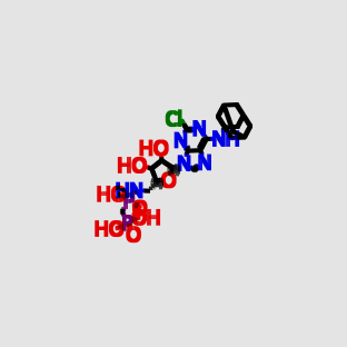 O=P(O)(O)CP(=O)(O)NC[C@H]1O[C@@H](n2cnc3c(NC45CC6CC(CC(C6)C4)C5)nc(Cl)nc32)C(O)C1O